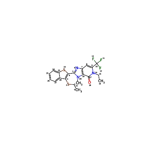 CCSc1c(-c2nc3cc(C(F)(F)F)n(CC)c(=O)c3n2C)sc2ccccc12